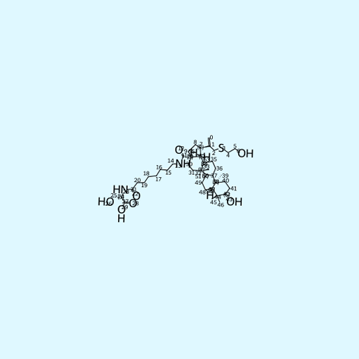 C=C(CSCCO)[C@@H]1CC[C@]2(C(=O)NCCCCCCCC(=O)N[C@@H](CO)C(=O)O)CC[C@]3(C)[C@H](CCC4[C@@]5(C)CC[C@H](O)C(C)(C)[C@@H]5CC[C@]43C)[C@@H]12